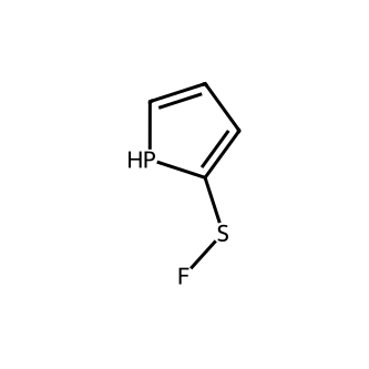 FSc1ccc[pH]1